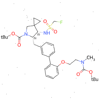 CN(CCOc1ccccc1-c1cccc(C[C@H]2[C@@H](NS(=O)(=O)CF)C3(CC3)CN2C(=O)OC(C)(C)C)c1)C(=O)OC(C)(C)C